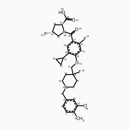 Cc1ccc(CN2CCC(F)(COc3cc(F)c(C(=O)N4C[C@H](F)C[C@H]4C(=O)O)cc3C3CC3)CC2)cc1Cl